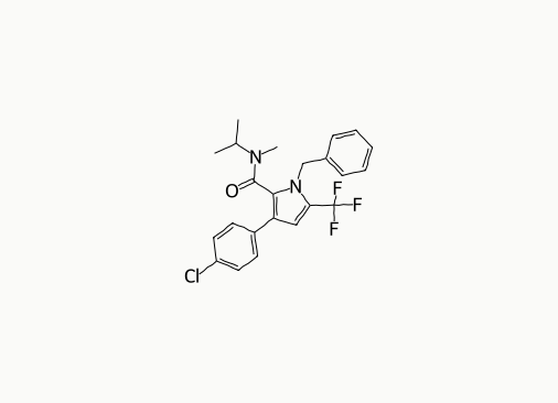 CC(C)N(C)C(=O)c1c(-c2ccc(Cl)cc2)cc(C(F)(F)F)n1Cc1ccccc1